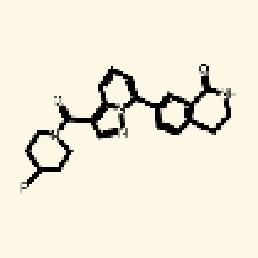 O=C1NCCc2ccc(-c3cccc4c(C(=O)N5CCC(F)CC5)cnn34)cc21